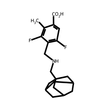 Cc1c(C(=O)O)cc(F)c(CNCC23CC4CC(CC(C4)C2)C3)c1F